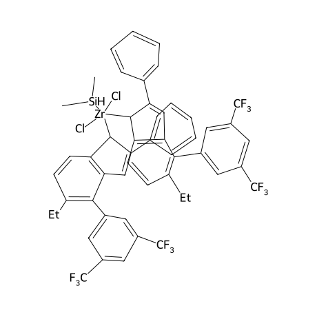 CCc1ccc2c(c1-c1cc(C(F)(F)F)cc(C(F)(F)F)c1)C=C(c1ccccc1)[CH]2[Zr]([Cl])([Cl])([CH]1C(c2ccccc2)=Cc2c1ccc(CC)c2-c1cc(C(F)(F)F)cc(C(F)(F)F)c1)[SiH](C)C